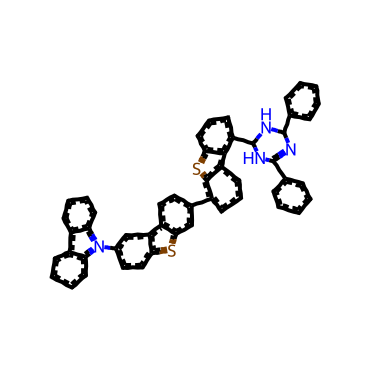 c1ccc(C2=NC(c3ccccc3)NC(c3cccc4sc5c(-c6ccc7c(c6)sc6ccc(-n8c9ccccc9c9ccccc98)cc67)cccc5c34)N2)cc1